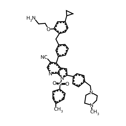 Cc1ccc(S(=O)(=O)n2c(-c3ccc(CN4CCN(C)CC4)cc3)cc3c(-c4cccc(Cc5ccc(C6CC6)cc5OCCN)c4)c(C#N)cnc32)cc1